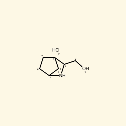 Cl.OCC1NC2CCC1C2